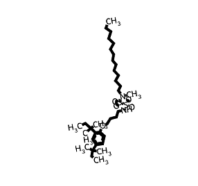 CCCCCCCCCCCCCCN(C)S(=O)(=O)S(=O)(=O)NCCCCOc1ccc(C(C)(C)CC)cc1C(C)(C)CC